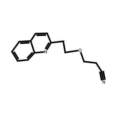 N#CCCOC[CH]c1ccc2ccccc2n1